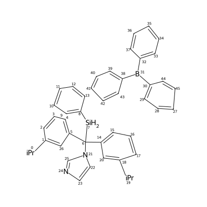 CC(C)c1cccc(C([SiH2]c2ccccc2)(c2cccc(C(C)C)c2)n2ccnc2)c1.c1ccc(B(c2ccccc2)c2ccccc2)cc1